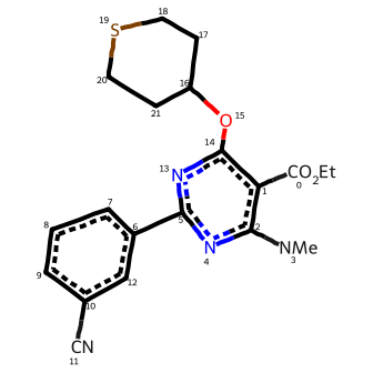 CCOC(=O)c1c(NC)nc(-c2cccc(C#N)c2)nc1OC1CCSCC1